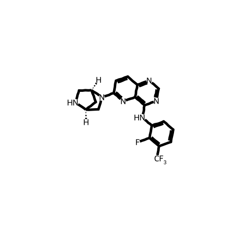 Fc1c(Nc2ncnc3ccc(N4C[C@@H]5C[C@H]4CN5)nc23)cccc1C(F)(F)F